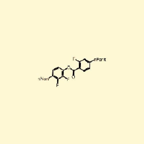 CCCCCCCCCc1ccc(OC(=O)c2ccc(CCCCC)cc2F)c(F)c1F